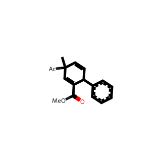 COC(=O)C1=CC(C)(C(C)=O)C=CC1c1ccccc1